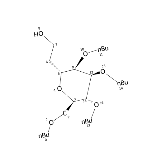 CCCCOC[C@H]1O[C@H](CCO)[C@@H](OCCCC)[C@@H](OCCCC)[C@@H]1OCCCC